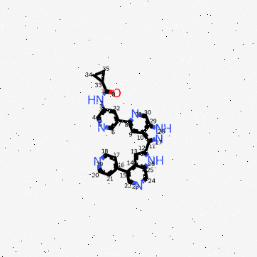 O=C(Nc1cncc(-c2cc3c(-c4cc5c(-c6ccncc6)cncc5[nH]4)n[nH]c3cn2)c1)C1CC1